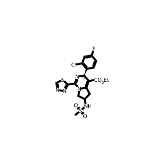 CCOC(=O)C1=C2CC(NS(C)(=O)=O)CN2C(c2nncs2)=N[C@H]1c1ccc(F)cc1Cl